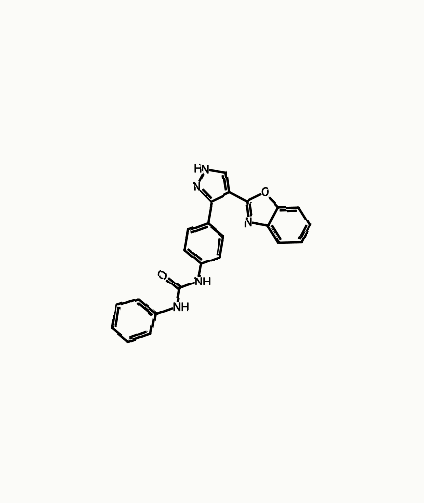 O=C(Nc1ccccc1)Nc1ccc(-c2n[nH]cc2-c2nc3ccccc3o2)cc1